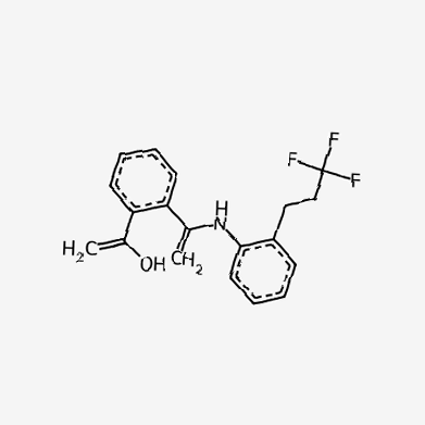 C=C(O)c1ccccc1C(=C)Nc1ccccc1CCC(F)(F)F